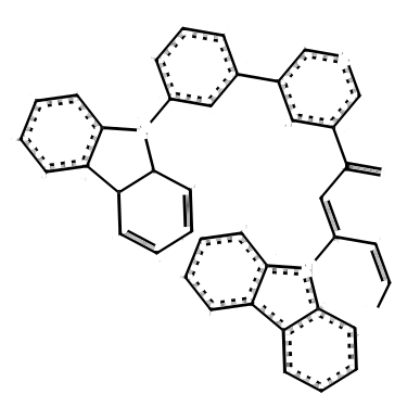 C=C(/C=C(\C=C/C)n1c2ccccc2c2ccccc21)c1cncc(-c2cccc(N3c4ccccc4C4C=CC=CC43)c2)c1